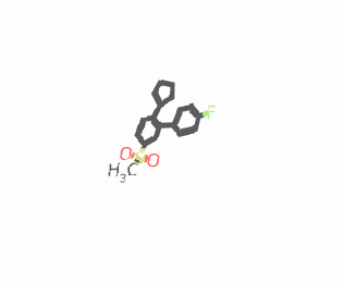 CS(=O)(=O)c1ccc(C2=CCCC2)c(-c2ccc(F)cc2)c1